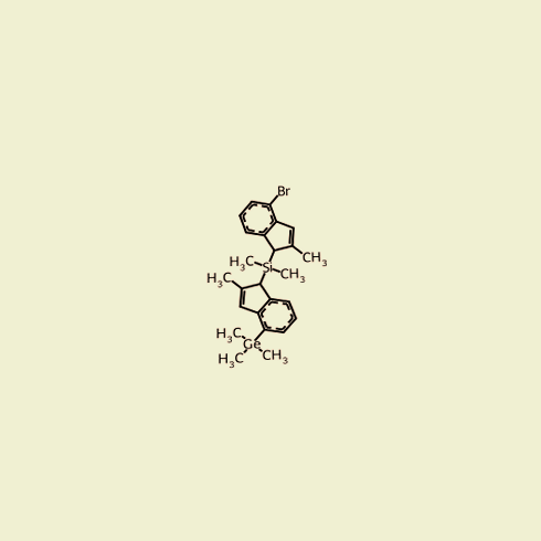 CC1=Cc2c(Br)cccc2C1[Si](C)(C)C1C(C)=Cc2c1ccc[c]2[Ge]([CH3])([CH3])[CH3]